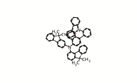 CC1(C)c2ccccc2-c2ccc(N(c3cccc4c3-c3ccccc3C4(C)C)c3ccc(-c4ccccc4-n4c5ccccc5c5ccccc54)c4ccccc34)cc21